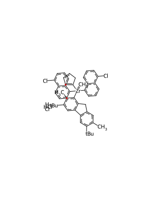 Cl.Cl.[CH2]=[Zr]([C]1=CC=CC1)([c]1c(C)c(C(C)(C)C)cc2c1Cc1cc(C)c(C(C)(C)C)cc1-2)([c]1cccc2c(Cl)cccc12)[c]1cccc2c(Cl)cccc12